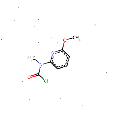 COc1cccc(N(C)C(=O)Cl)n1